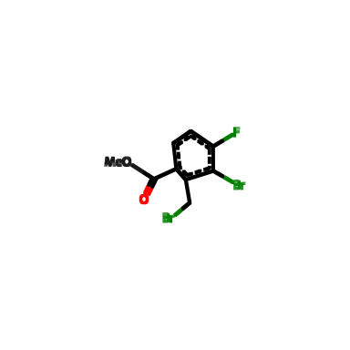 COC(=O)c1ccc(F)c(Br)c1CBr